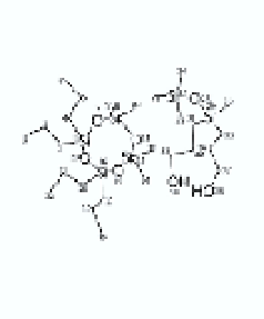 CCC[Si]1(CCC)O[Si](C)(C)O[Si](C)(C)O[Si](CCC)(CCC)O1.C[Si](C)(C)O[Si](C)(CCCO)CCCO